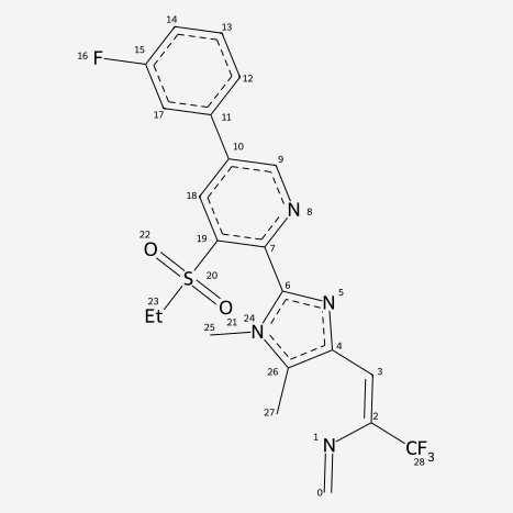 C=N/C(=C\c1nc(-c2ncc(-c3cccc(F)c3)cc2S(=O)(=O)CC)n(C)c1C)C(F)(F)F